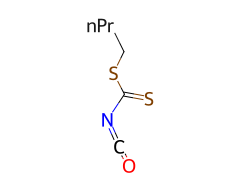 CCCCSC(=S)N=C=O